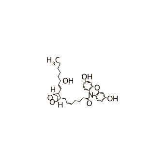 CCCCC[C@H](O)/C=C/C1[C@@H](C/C=C\CCCC(=O)N2c3ccc(O)cc3Oc3cc(O)ccc32)[C@@H]2C[C@H]1OO2